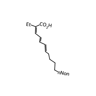 CCCCCCCCCCCCCC=CC=CC=C(CC)C(=O)O